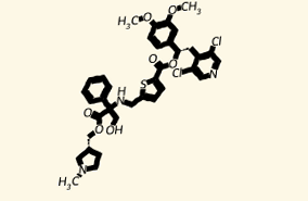 COc1ccc([C@H](Cc2c(Cl)cncc2Cl)OC(=O)c2ccc(CNC(CO)(C(=O)OC[C@@H]3CCN(C)C3)c3ccccc3)s2)cc1OC